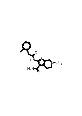 CN1CCc2c(sc(NC(=O)Cc3ccccc3I)c2C(N)=O)C1